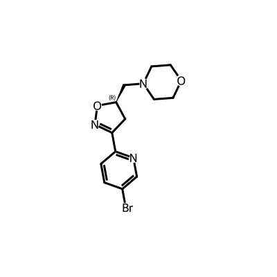 Brc1ccc(C2=NO[C@@H](CN3CCOCC3)C2)nc1